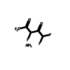 O=C(C(F)F)C(F)C(=O)C(F)(F)F.[AlH3]